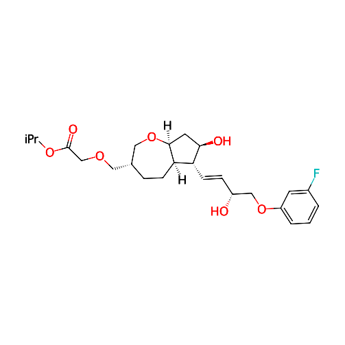 CC(C)OC(=O)COC[C@H]1CC[C@@H]2[C@@H](/C=C/[C@@H](O)COc3cccc(F)c3)[C@H](O)C[C@@H]2OC1